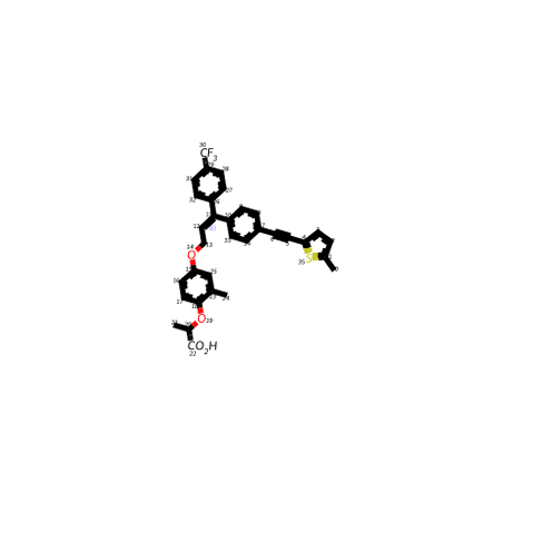 Cc1ccc(C#Cc2ccc(/C(=C\COc3ccc(OC(C)C(=O)O)c(C)c3)c3ccc(C(F)(F)F)cc3)cc2)s1